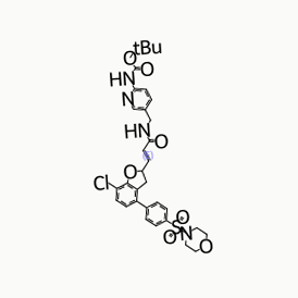 CC(C)(C)OC(=O)Nc1ccc(CNC(=O)/C=C/C2Cc3c(-c4ccc(S(=O)(=O)N5CCOCC5)cc4)ccc(Cl)c3O2)cn1